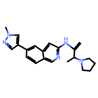 C=C(Nc1cc2cc(-c3cnn(C)c3)ccc2cn1)C(C)N1CCCC1